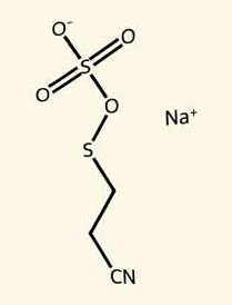 N#CCCSOS(=O)(=O)[O-].[Na+]